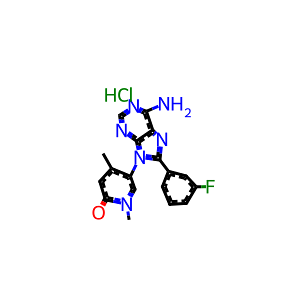 Cc1cc(=O)n(C)cc1-n1c(-c2cccc(F)c2)nc2c(N)ncnc21.Cl